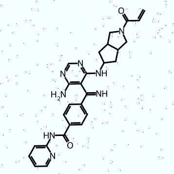 C=CC(=O)N1CC2CC(Nc3ncnc(N)c3C(=N)c3ccc(C(=O)Nc4ccccn4)cc3)CC2C1